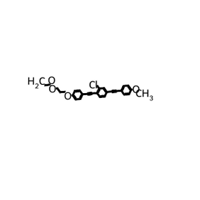 C=CC(=O)OCCCOc1ccc(C#Cc2ccc(C#Cc3ccc(OC)cc3)cc2Cl)cc1